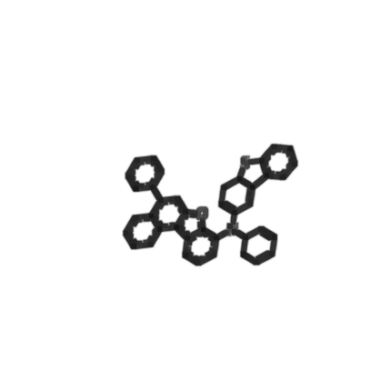 C1=CCC(N(C2=CCC3Sc4ccccc4C3=C2)c2cccc3c2oc2cc(-c4ccccc4)c4ccccc4c23)C=C1